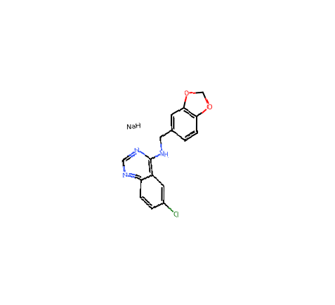 Clc1ccc2ncnc(NCc3ccc4c(c3)OCO4)c2c1.[NaH]